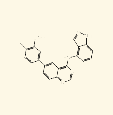 COc1cc(-c2ccc3ncnc(Nc4cccc5[nH]ncc45)c3c2)ccc1C